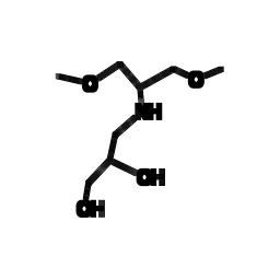 COCC(COC)NCC(O)CO